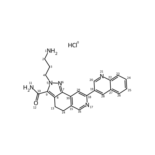 Cl.NCCCn1nc2c(c1C(N)=O)CCc1cnc(-c3cnc4ccccc4c3)cc1-2